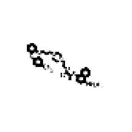 CC(=O)Nc1ccc(SC(C)C(=O)OCCN2CCN(CCCN3c4ccccc4Sc4ccc(C(F)(F)F)cc43)CC2)c2ccccc12